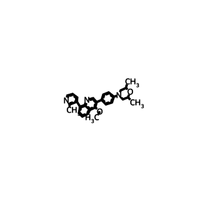 COc1c(-c2ccc(N3CC(C)OC(C)C3)cc2)cnc2c(-c3cccnc3C)cccc12